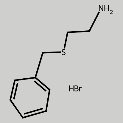 Br.NCCSCc1ccccc1